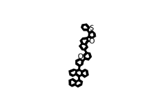 c1ccc2c(-c3c4ccccc4c(-c4ccc5oc6c(-c7ccc8ccc9c(oc%10ccc%11sc%12ccccc%12c%11c%109)c8c7)cccc6c5c4)c4ccccc34)cccc2c1